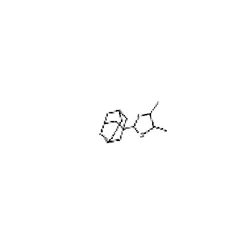 CC1OC(C23CC4CC(CC(C4)C2)C3)OC1C